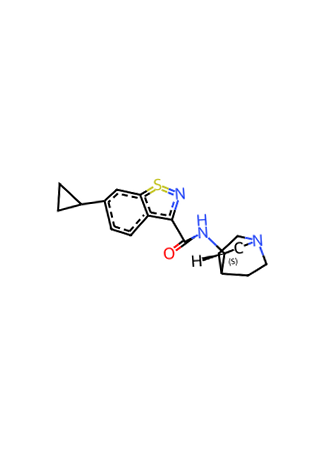 O=C(N[C@@H]1CN2CCC1CC2)c1nsc2cc(C3CC3)ccc12